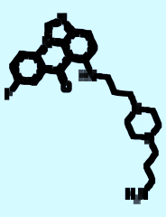 NCCCN1CCN(CCCNc2ccc3ncn4c5ccc(F)cc5c(=O)c2c34)CC1